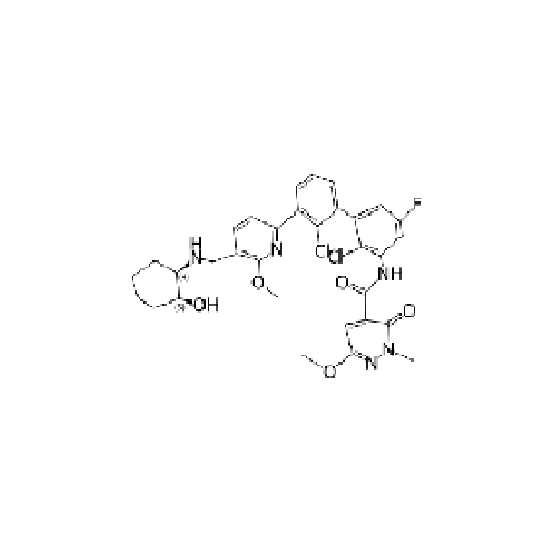 COc1cc(C(=O)Nc2cc(F)cc(-c3cccc(-c4ccc(CN[C@@H]5CCCC[C@@H]5O)c(OC)n4)c3Cl)c2Cl)c(=O)n(C)n1